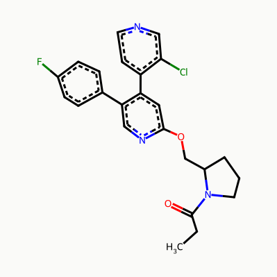 CCC(=O)N1CCCC1COc1cc(-c2ccncc2Cl)c(-c2ccc(F)cc2)cn1